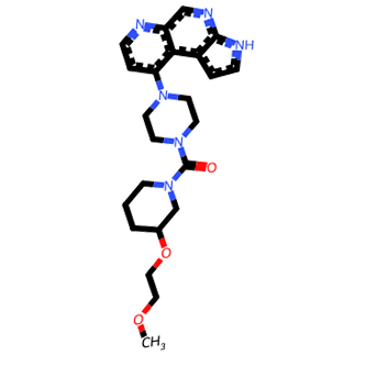 COCCOC1CCCN(C(=O)N2CCN(c3ccnc4cnc5[nH]ccc5c34)CC2)C1